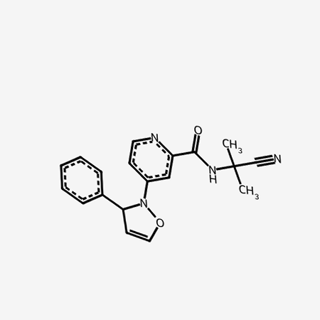 CC(C)(C#N)NC(=O)c1cc(N2OC=CC2c2ccccc2)ccn1